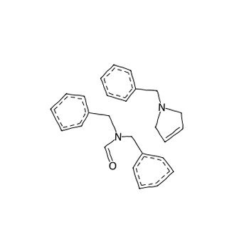 C1=CCN(Cc2ccccc2)C1.O=CN(Cc1ccccc1)Cc1ccccc1